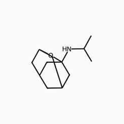 CC(C)NC12CC3CC(CC(C3)O1)C2